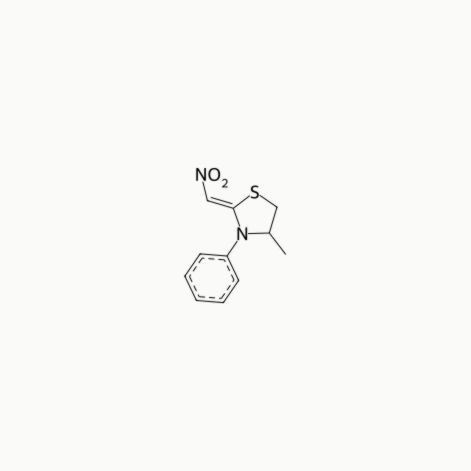 CC1CSC(=C[N+](=O)[O-])N1c1ccccc1